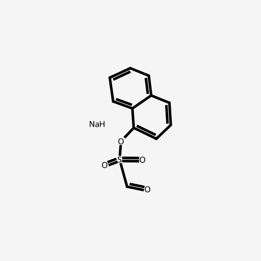 O=CS(=O)(=O)Oc1cccc2ccccc12.[NaH]